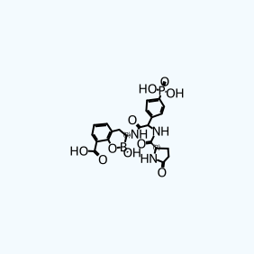 O=C1CC[C@H](C(=O)NC(C(=O)N[C@H]2Cc3cccc(C(=O)O)c3OB2O)c2ccc(P(=O)(O)O)cc2)N1